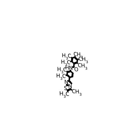 Cc1sc2nc(-c3ccc(NC(=O)c4c(C)c(C)c(C)c(C)c4C)c(C)c3C)cn2c1C